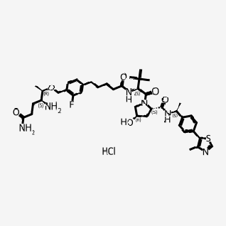 Cc1ncsc1-c1ccc([C@H](C)NC(=O)[C@@H]2C[C@@H](O)CN2C(=O)[C@@H](NC(=O)CCCCc2ccc(CO[C@H](C)[C@@H](N)CCC(N)=O)c(F)c2)C(C)(C)C)cc1.Cl